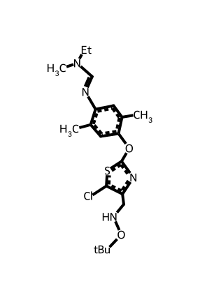 CCN(C)/C=N/c1cc(C)c(Oc2nc(CNOC(C)(C)C)c(Cl)s2)cc1C